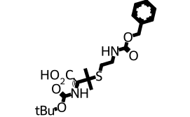 CC(C)(C)OC(=O)N[C@H](C(=O)O)C(C)(C)SCCNC(=O)OCc1ccccc1